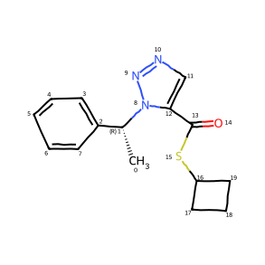 C[C@H](c1ccccc1)n1nncc1C(=O)SC1CCC1